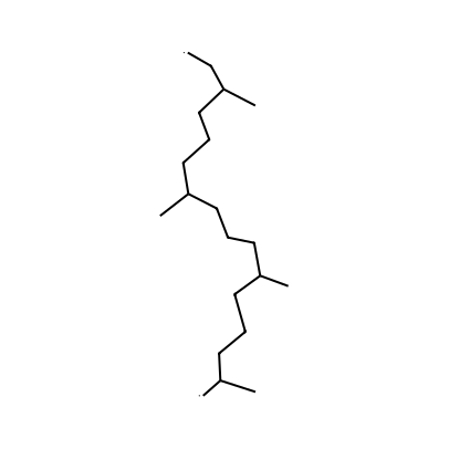 [CH2]CC(C)CCCC(C)CCCC(C)CCCC([CH2])C